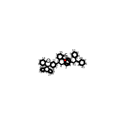 c1ccc(CC(c2ccc3c(c2)Oc2ccccc2C32c3ccccc3-c3ccccc32)c2cccc3sc4cc(CC(c5ccccc5)c5ccccc5)ccc4c23)cc1